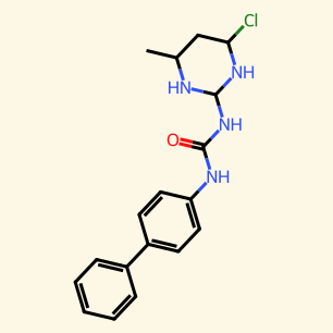 CC1CC(Cl)NC(NC(=O)Nc2ccc(-c3ccccc3)cc2)N1